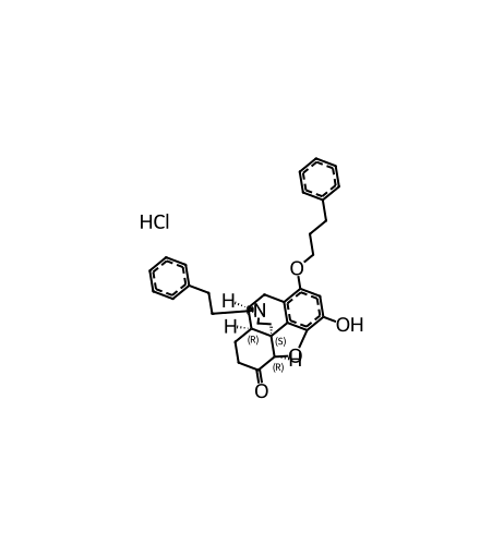 Cl.O=C1CC[C@H]2[C@H]3Cc4c(OCCCc5ccccc5)cc(O)c5c4[C@@]2(CCN3CCc2ccccc2)[C@H]1O5